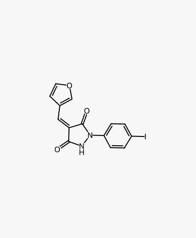 O=C1NN(c2ccc(I)cc2)C(=O)/C1=C\c1ccoc1